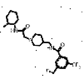 CC1CCCCC1NC(=O)CN1CCC(CNC(=O)c2cc(CF)cc(C(F)(F)F)c2)CC1